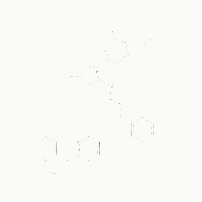 CSc1ccccc1Cn1c(C)cc(OCc2ccccc2CNC(=O)Nc2cc(C(C)(C)C)nn2-c2ccc(O[Si](C)(C)C(C)(C)C)c(Cl)c2)cc1=O